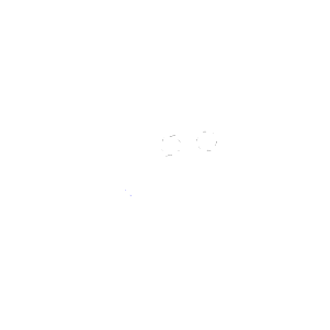 Cc1ccccc1-c1ccc(OC2CCC3N(C(C)C)CCC3(C)C2)cc1